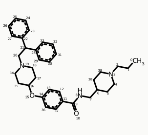 CCCN1CCC(CNC(=O)c2ccc(OC3CCN(CC(c4ccccc4)c4ccccc4)CC3)cc2)CC1